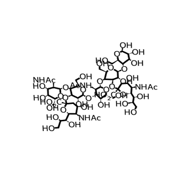 CC(=O)N[C@H]1[C@H](O[C@@H]2[C@H](O[C@]3(C(=O)O)C[C@H](O)[C@@H](NC(C)=O)[C@H]([C@H](O)[C@H](O)CO)O3)[C@@H](O)[C@H](O[C@H]3[C@@H](O)[C@@H](CO)O[C@@H](O[C@@H]4[C@H](O[C@]5(C(=O)O)C[C@H](O)[C@@H](NC(C)=O)[C@H]([C@H](O)[C@H](O)CO)O5)[C@@H](O)[C@H](O[C@H]5[C@H](O)[C@@H](O)[C@H](O)O[C@@H]5CO)O[C@@H]4CO)[C@@H]3NC(C)=O)O[C@@H]2CO)O[C@H](CO)[C@H](O)[C@@H]1O